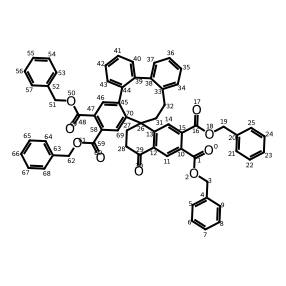 O=C(OCc1ccccc1)c1cc2c(cc1C(=O)OCc1ccccc1)C1(CCC2=O)CCc2ccccc2-c2ccccc2-c2cc(C(=O)OCc3ccccc3)c(C(=O)OCc3ccccc3)cc21